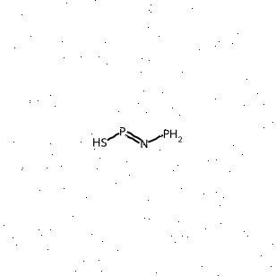 P/N=P/S